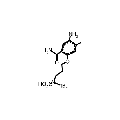 Cc1cc(OCCCN(C(=O)O)C(C)(C)C)c(C(N)=O)cc1N